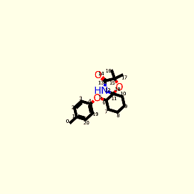 Cc1ccc(OC2CCCCC23NC(=O)C(C)(C)O3)cc1